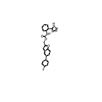 O=C(Nc1ccccc1-c1nnn[nH]1)OCc1cc2cc(-c3ccc(F)cc3)ccc2o1